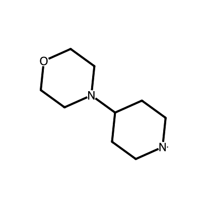 C1CC(N2CCOCC2)CC[N]1